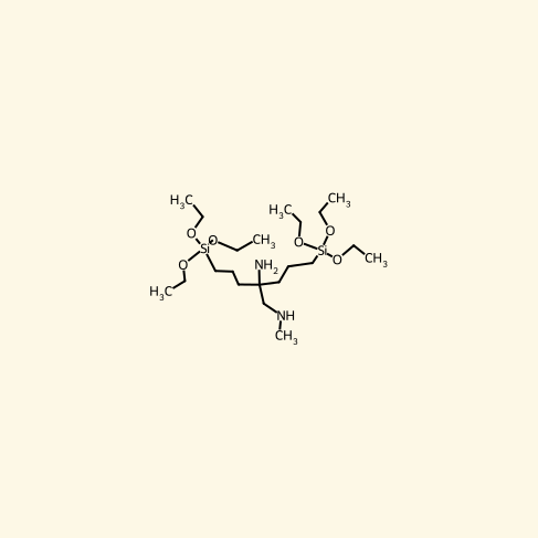 CCO[Si](CCCC(N)(CCC[Si](OCC)(OCC)OCC)CNC)(OCC)OCC